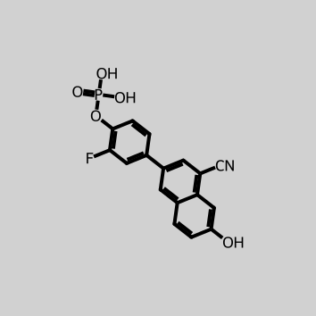 N#Cc1cc(-c2ccc(OP(=O)(O)O)c(F)c2)cc2ccc(O)cc12